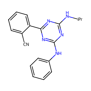 CC(C)Nc1nc(Nc2ccccc2)nc(-c2ccccc2C#N)n1